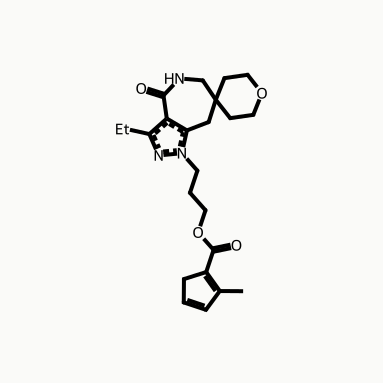 CCc1nn(CCCOC(=O)C2=C(C)C=CC2)c2c1C(=O)NCC1(CCOCC1)C2